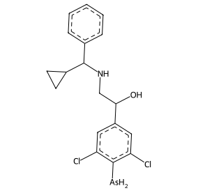 OC(CNC(c1ccccc1)C1CC1)c1cc(Cl)c([AsH2])c(Cl)c1